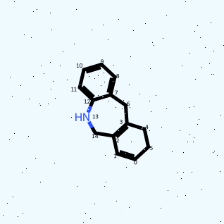 C1=CC2=C(CC1)Cc1ccccc1NC2